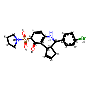 O=C1C2=C(C=CC1S(=O)(=O)N1CCCC1)NC(c1ccc(Br)cc1)C1CC=CC21